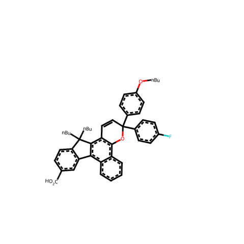 CCCCOc1ccc(C2(c3ccc(F)cc3)C=Cc3c4c(c5ccccc5c3O2)-c2cc(C(=O)O)ccc2C4(CCCC)CCCC)cc1